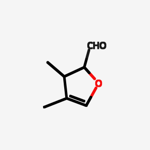 CC1=COC(C=O)C1C